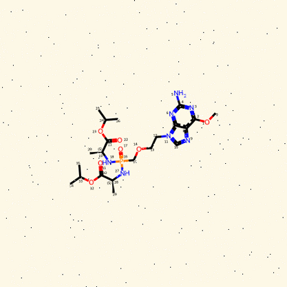 COc1nc(N)nc2c1ncn2CCOCP(=O)(N[C@@H](C)C(=O)OC(C)C)N[C@@H](C)C(=O)OC(C)C